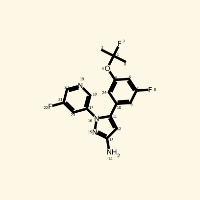 CC(C)(F)Oc1cc(F)cc(-c2cc(N)nn2-c2cncc(F)c2)c1